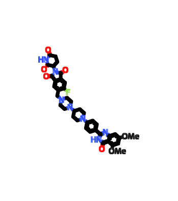 COc1cc(OC)c2c(=O)[nH]c(-c3ccc(N4CCC(N5CCN(Cc6cc7c(cc6F)C(=O)N(C6CCC(=O)NC6=O)C7=O)CC5)CC4)cc3)nc2c1